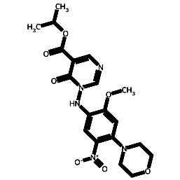 COc1cc(N2CCOCC2)c([N+](=O)[O-])cc1Nn1cncc(C(=O)OC(C)C)c1=O